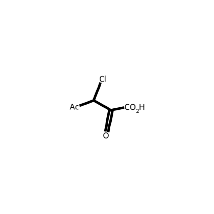 CC(=O)C(Cl)C(=O)C(=O)O